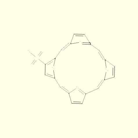 NS(=O)(=O)c1cc2cc3nc(cc4ccc(cc5nc(cc1[nH]2)C=C5)[nH]4)C=C3